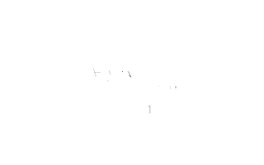 [CH2]n1cc(I)c(=O)c(I)c1